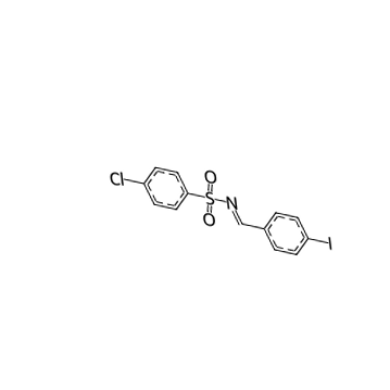 O=S(=O)(/N=C/c1ccc(I)cc1)c1ccc(Cl)cc1